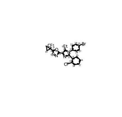 CCc1c(-c2nnc(C3(C(F)(F)F)CC3)o2)nc(-c2ccccc2Cl)n1-c1ccc(Br)cc1